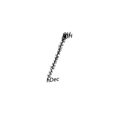 CCCCCCCCCCCCCCCCCCCCCCCCCCCCCCCCCCCCCCOB(O)O